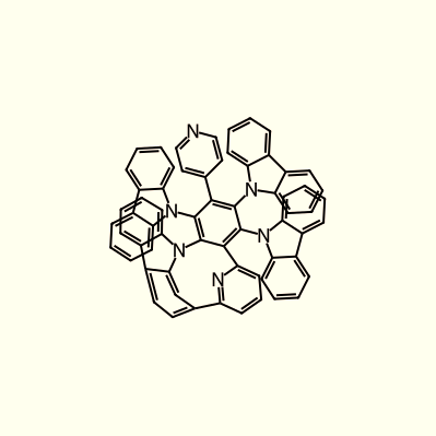 c1cc2nc(c1)c1c(-n3c4ccccc4c4ccccc43)c(-n3c4ccccc4c4ccccc43)c(-c3ccncc3)c(-n3c4ccccc4c4ccccc43)c1n1c3ccccc3c3ccc2cc31